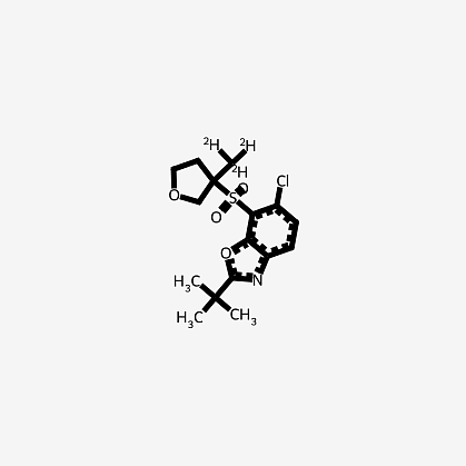 [2H]C([2H])([2H])C1(S(=O)(=O)c2c(Cl)ccc3nc(C(C)(C)C)oc23)CCOC1